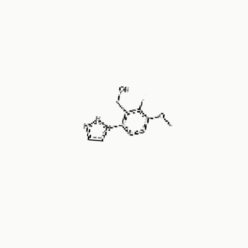 COc1ccc(-n2ccnn2)c(CO)c1F